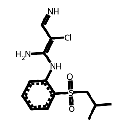 CC(C)CS(=O)(=O)c1ccccc1N/C(N)=C(\Cl)C=N